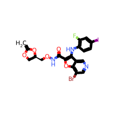 C=C1OC[C@H](CONC(=O)c2oc3c(Br)cncc3c2Nc2ccc(I)cc2F)O1